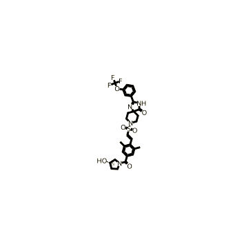 Cc1cc(C(=O)N2CC[C@H](O)C2)cc(C)c1C=CS(=O)(=O)N1CCC2(CC1)N=C(c1cccc(OC(F)(F)F)c1)NC2=O